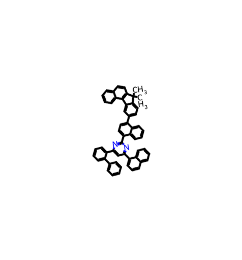 CC1(C)c2ccc(-c3ccc(-c4nc(-c5ccccc5-c5ccccc5)cc(-c5cccc6ccccc56)n4)c4ccccc34)cc2-c2c1ccc1ccccc21